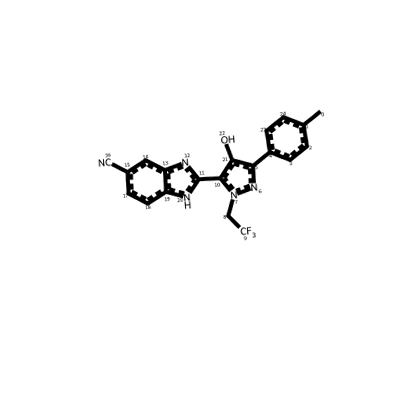 Cc1ccc(-c2nn(CC(F)(F)F)c(-c3nc4cc(C#N)ccc4[nH]3)c2O)cc1